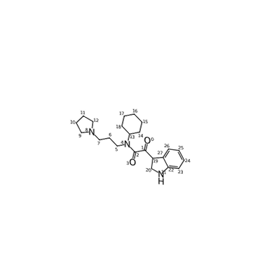 O=C(C(=O)N(CCCN1CCCC1)C1CCCCC1)C1CNc2ccccc21